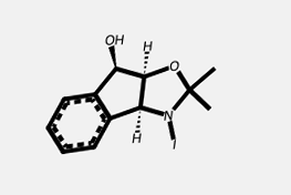 CC1(C)O[C@@H]2[C@H](O)c3ccccc3[C@@H]2N1I